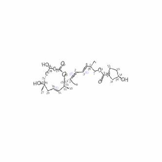 C/C(=C\C=C\[C@@H](C)COC(=O)N1CC[C@@H](O)C1)[C@H]1OC(=O)C[C@H](O)CC[C@@](C)(O)C/C=C/[C@@H]1C